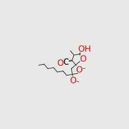 CCCCCCCC(C)(CC(C)(OC)C(=C=O)C(C)C(=O)O)OC